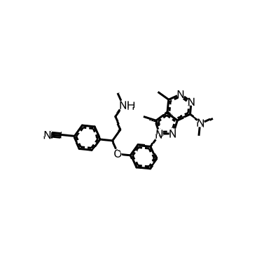 CNCCC(Oc1cccc(-n2nc3c(N(C)C)nnc(C)c3c2C)c1)c1ccc(C#N)cc1